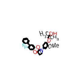 COc1cc(N2CCC(Oc3ccc(-c4ccccc4F)c(F)c3)C2=O)ccc1OCC(C)(C)O